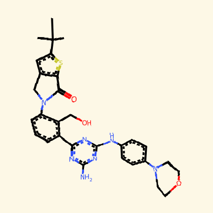 CC(C)(C)c1cc2c(s1)C(=O)N(c1cccc(-c3nc(N)nc(Nc4ccc(N5CCOCC5)cc4)n3)c1CO)C2